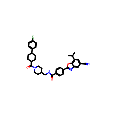 CC(C)c1cc(C#N)cc2nc(-c3ccc(C(=O)NCC4CCN(C(=O)C5CCC(c6ccc(Cl)cc6)CC5)CC4)cc3)oc12